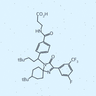 CC(C)(C)CCC(c1ccc(C(=O)NCCC(=O)O)cc1)N1C(=O)C(c2cc(F)cc(C(F)(F)F)c2)=NC12CCC(C(C)(C)C)CC2